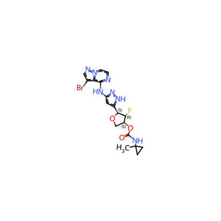 CC1(NC(=O)O[C@H]2CO[C@@H](c3cc(Nc4nccn5ncc(Br)c45)n[nH]3)[C@H]2F)CC1